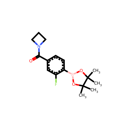 CC1(C)OB(c2ccc(C(=O)N3CCC3)cc2F)OC1(C)C